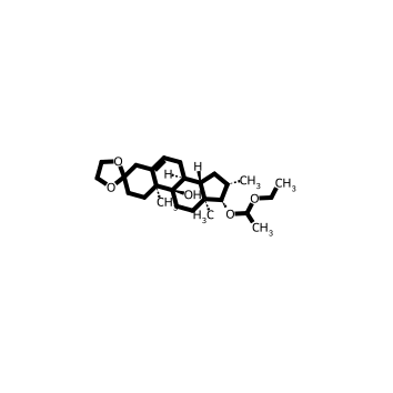 CCOC(C)O[C@H]1[C@@H](C)C[C@H]2[C@@H]3CC=C4CC5(CC[C@]4(C)[C@@]3(O)CC[C@@]21C)OCCO5